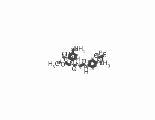 CCOC(CN(C(=O)NCC(=O)Nc1ccc(N(C)C(=O)C(F)(F)F)cc1)c1ccc(CN)cc1)OCC